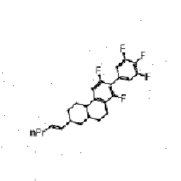 CCCC=CC1CCC2c3cc(F)c(-c4cc(F)c(F)c(F)c4)c(F)c3CCC2C1